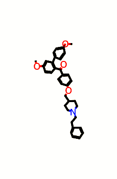 COc1ccc(-c2cc(OC)ccc2C(=O)c2ccc(OCC3CCN(CCc4ccccc4)CC3)cc2)cc1